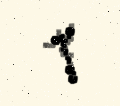 COc1ccc2[nH]c(C)c(C(CC[S+]([O-])CC(=O)NCCCOc3cccc(CN4CCCCC4)c3)C(=O)OC(=O)c3ccc(Cl)cc3)c2c1